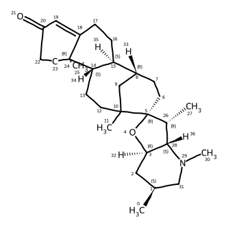 C[C@H]1C[C@H]2O[C@]3(CC[C@@H]4CC3(C)CC[C@H]3[C@H]4CCC4=CC(=O)CC[C@@]43C)[C@H](C)[C@@H]2N(C)C1